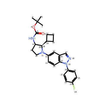 CC(C)(C)OC(=O)NC1CCN(c2ccc3c(cnn3-c3ccc(F)cc3)c2)[C@@H]1C1CCC1